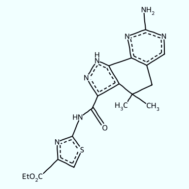 CCOC(=O)c1csc(NC(=O)c2n[nH]c3c2C(C)(C)Cc2cnc(N)nc2-3)n1